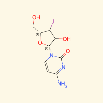 Nc1ccn([C@@H]2O[C@H](CO)C(I)C2O)c(=O)n1